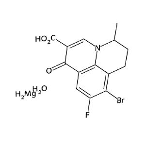 CC1CCc2c(Br)c(F)cc3c(=O)c(C(=O)O)cn1c23.O.[MgH2]